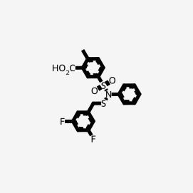 Cc1ccc(S(=O)(=O)N(SCc2cc(F)cc(F)c2)c2ccccc2)cc1C(=O)O